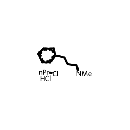 CCCCl.CNCCCc1ccccc1.Cl